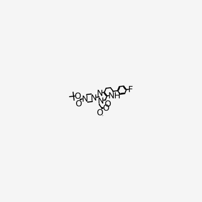 COC(=O)Cn1c(N2CCN(C(=O)OC(C)(C)C)CC2)nc2c(c1=O)NC(c1ccc(F)cc1)CC2